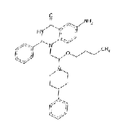 CCCCOC(CN1c2ccc(N)cc2C(=O)NC1c1ccccc1)N1CCC(c2ccccc2)CC1